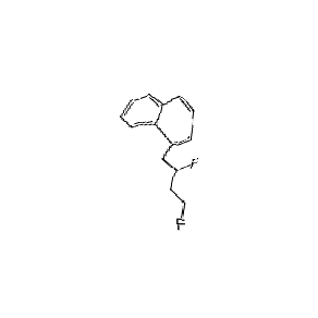 FCCC(F)Cc1cccc2ccccc12